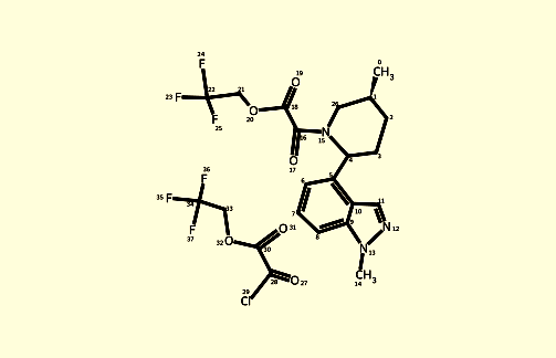 C[C@H]1CCC(c2cccc3c2cnn3C)N(C(=O)C(=O)OCC(F)(F)F)C1.O=C(Cl)C(=O)OCC(F)(F)F